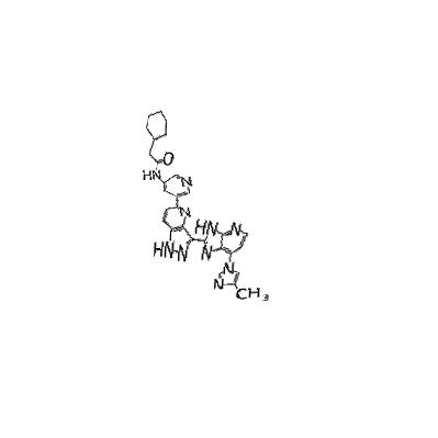 Cc1cn(-c2ccnc3[nH]c(-c4n[nH]c5ccc(-c6cncc(NC(=O)CC7CCCCC7)c6)nc45)nc23)cn1